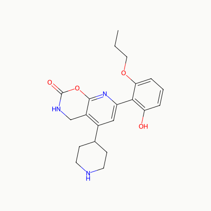 CCCOc1cccc(O)c1-c1cc(C2CCNCC2)c2c(n1)OC(=O)NC2